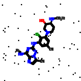 CCNc1nc(Nc2cc(C#N)cc(N3CC[C@@H](NC(=O)OCC)[C@H](O)C3)c2Cl)nn2c(C#N)cnc12